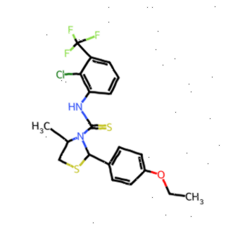 CCOc1ccc(C2SCC(C)N2C(=S)Nc2cccc(C(F)(F)F)c2Cl)cc1